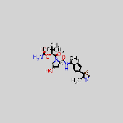 Cc1ncsc1-c1ccc(C(C)NC(=O)[C@@H]2C[C@@H](O)CN2C(=O)C(OC(N)=O)C(C)(C)C)cc1